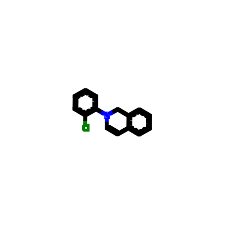 Clc1ccccc1N1C=Cc2ccccc2C1